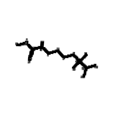 COC(=O)NCCCCC(C)(C)C(C)C